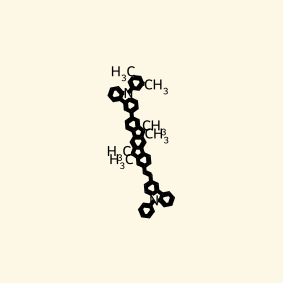 Cc1cc(C)cc(-n2c3ccccc3c3cc(-c4ccc5c(c4)C(C)(C)c4cc6c(cc4-5)C(C)(C)c4cc(/C=C/c5ccc7c(c5)c5ccccc5n7-c5ccccc5)ccc4-6)ccc32)c1